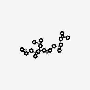 c1ccc(-n2c3ccccc3c3ccc(-c4ccc5c6ccccc6n(-c6cccc(-c7ccc8oc9cc(-c%10cc%11c%12ccccc%12n(-c%12cccc(-c%13cccc%14c%13oc%13ccccc%13%14)c%12)c%11cc%10-c%10ccc%11c%12ccccc%12n(-c%12ccccc%12)c%11c%10)ccc9c8c7)c6)c5c4)cc32)cc1